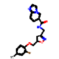 N#Cc1ccc(OCC2CC(CNC(=O)c3ccc4nccn4c3)=NO2)c(Br)c1